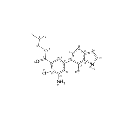 CC(C)COC(=O)c1nc(-c2ccc3cc[nH]c3c2F)cc(N)c1Cl